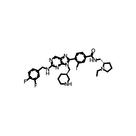 CCN1CCC[C@H]1CNC(=O)c1ccc(-c2nc3cnc(NCc4ccc(F)c(F)c4)nc3n2C[C@@H]2CCCNC2)c(I)c1